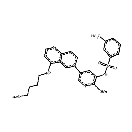 CNCCCCNc1ccnc2ccc(-c3cnc(OC)c(NS(=O)(=O)c4cccc(C(=O)O)c4)c3)cc12